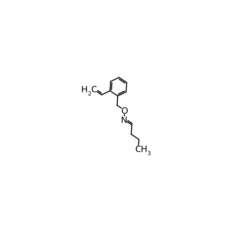 C=Cc1ccccc1CON=CCCC